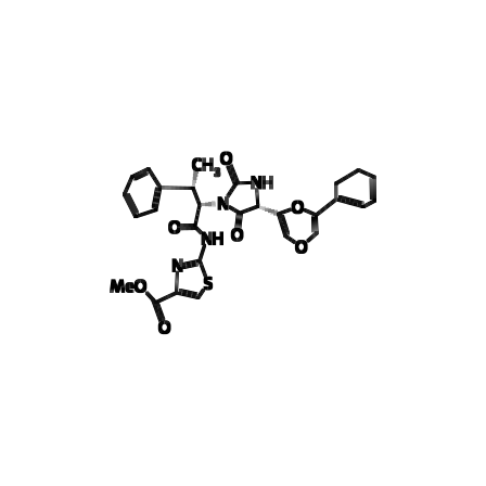 COC(=O)c1csc(NC(=O)[C@H]([C@@H](C)c2ccccc2)N2C(=O)N[C@H](C3=COC=C(C4=CC=CCC4)O3)C2=O)n1